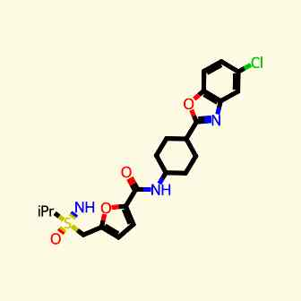 CC(C)S(=N)(=O)Cc1ccc(C(=O)NC2CCC(c3nc4cc(Cl)ccc4o3)CC2)o1